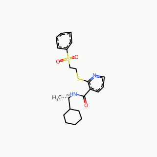 C[C@H](NC(=O)c1cccnc1SCCS(=O)(=O)c1ccccc1)C1CCCCC1